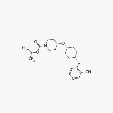 CC(OC(=O)N1CCC(OC2CCC(Oc3ccncc3C#N)CC2)CC1)C(F)(F)F